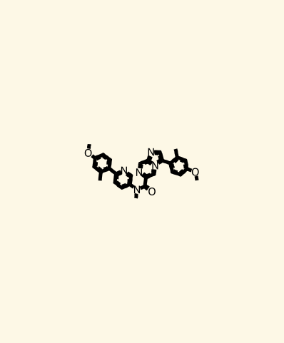 COc1ccc(-c2ccc(N(C)C(=O)c3cn4c(-c5ccc(OC)cc5C)cnc4cn3)cn2)c(C)c1